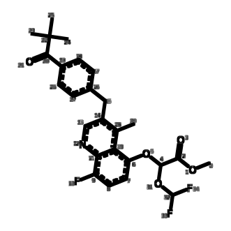 COC(=O)C(Oc1ccc(F)c2ncc(Cc3ccc(C(=O)C(C)(C)C)cc3)c(C)c12)OC(F)F